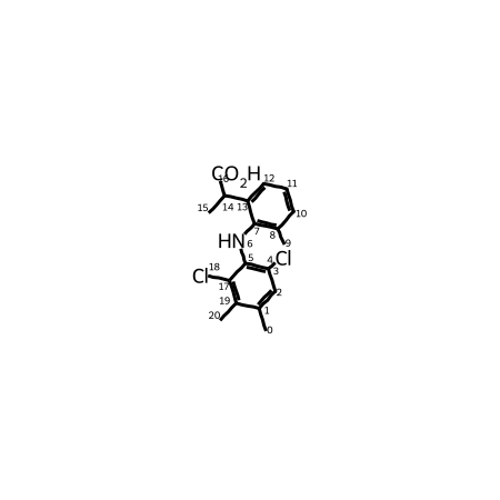 Cc1cc(Cl)c(Nc2c(C)cccc2C(C)C(=O)O)c(Cl)c1C